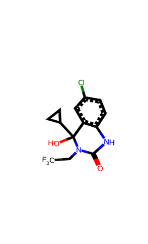 O=C1Nc2ccc(Cl)cc2C(O)(C2CC2)N1CC(F)(F)F